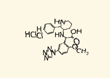 COc1ccc(-n2cnnn2)cc1C(NC1CCCNC1c1ccccc1)C(=O)O.Cl.Cl